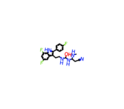 CNC(CC#N)NC(O)NCCc1c(-c2ccc(F)cc2)[nH]c2c(F)cc(F)cc12